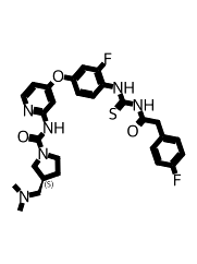 CN(C)C[C@@H]1CCN(C(=O)Nc2cc(Oc3ccc(NC(=S)NC(=O)Cc4ccc(F)cc4)c(F)c3)ccn2)C1